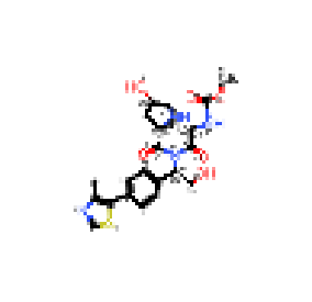 Cc1ncsc1-c1ccc([C@H](CO)N(C(=O)[C@@H]2C[C@@H](O)CN2)C(=O)[C@@H](NC(=O)OC(C)(C)C)C(C)C)cc1